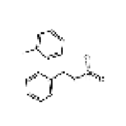 Cc1ccccc1.O=[SH](=O)OCc1ccccc1